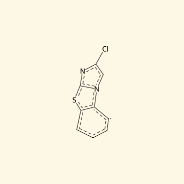 Clc1cn2c(n1)sc1ccc[c]c12